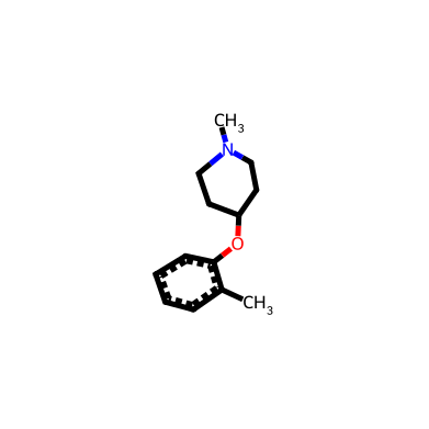 Cc1ccccc1OC1CCN(C)CC1